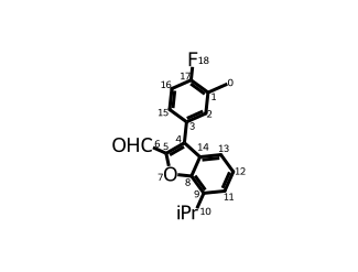 Cc1cc(-c2c(C=O)oc3c(C(C)C)cccc23)ccc1F